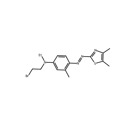 CCN(CCBr)c1ccc(/N=N/c2nc(C)c(C)s2)c(C)c1